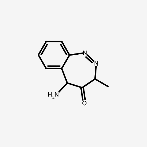 CC1N=Nc2ccccc2C(N)C1=O